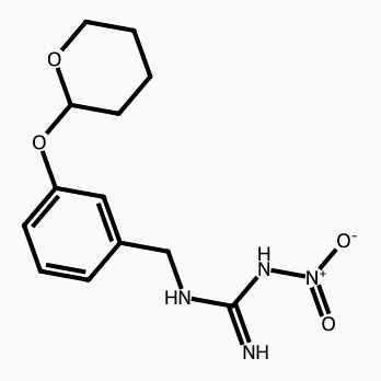 N=C(NCc1cccc(OC2CCCCO2)c1)N[N+](=O)[O-]